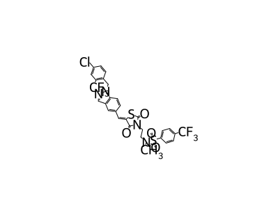 CN(CCN1C(=O)S/C(=C\c2ccc3c(cnn3Cc3ccc(Cl)cc3C(F)(F)F)c2)C1=O)S(=O)(=O)c1ccc(C(F)(F)F)cc1